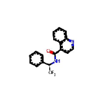 O=C(N[C@H](c1ccccc1)C(F)(F)F)c1ccnc2ccccc12